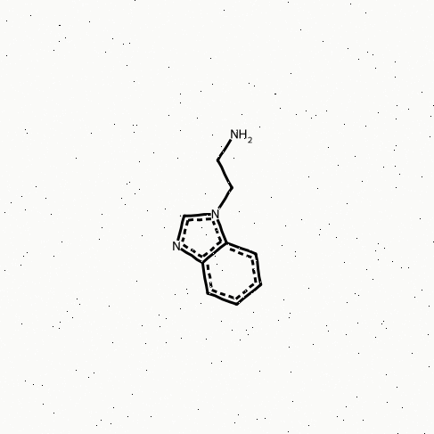 NCCn1[c]nc2ccccc21